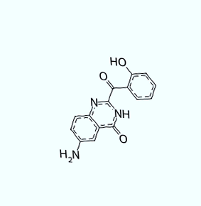 Nc1ccc2nc(C(=O)c3ccccc3O)[nH]c(=O)c2c1